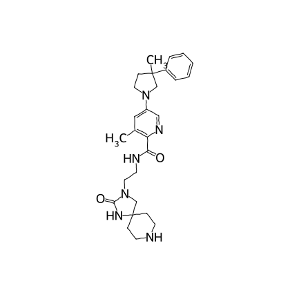 Cc1cc(N2CCC(C)(c3ccccc3)C2)cnc1C(=O)NCCN1CC2(CCNCC2)NC1=O